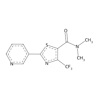 CN(C)C(=O)c1sc(-c2cccnc2)nc1C(F)(F)F